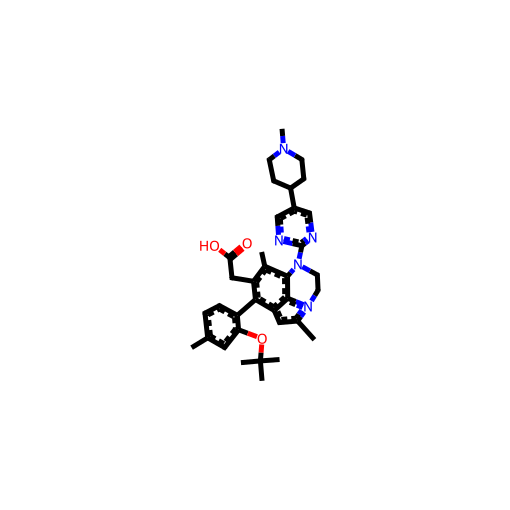 Cc1ccc(-c2c(CC(=O)O)c(C)c3c4c2cc(C)n4CCN3c2ncc(C3CCN(C)CC3)cn2)c(OC(C)(C)C)c1